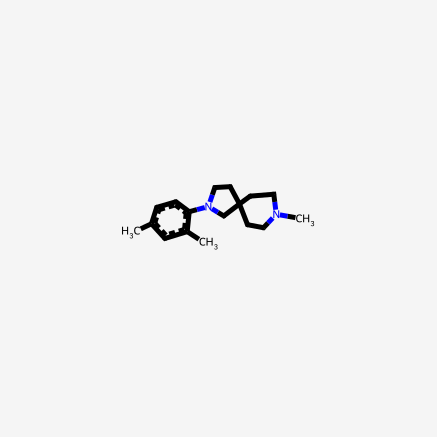 Cc1ccc(N2CCC3(CCN(C)CC3)C2)c(C)c1